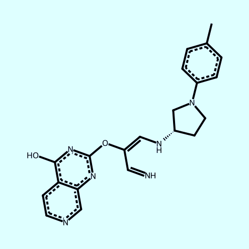 Cc1ccc(N2CC[C@H](N/C=C(\C=N)Oc3nc(O)c4ccncc4n3)C2)cc1